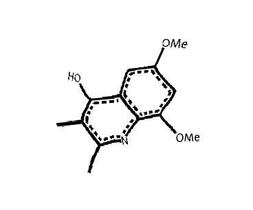 COc1cc(OC)c2nc(C)c(C)c(O)c2c1